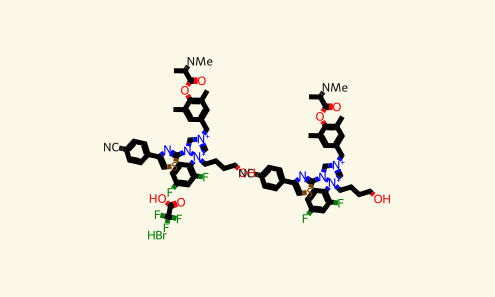 Br.CNC(C)C(=O)Oc1c(C)cc(C[N+]2=C[N+](CCCCO)(c3ccc(F)cc3F)N(c3nc(-c4ccc(C#N)cc4)cs3)C2)cc1C.CNC(C)C(=O)Oc1c(C)cc(C[N+]2=C[N+](CCCCO)(c3ccc(F)cc3F)N(c3nc(-c4ccc(C#N)cc4)cs3)C2)cc1C.O=C(O)C(F)(F)F